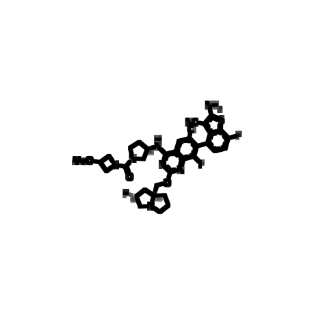 COC1CN(C(=O)N2CC[C@@H](Nc3nc(OC[C@@]45CCCN4C[C@H](F)C5)nc4c(F)c(-c5ccc(F)c6sc(N)c(C#N)c56)c(Cl)cc34)C2)C1